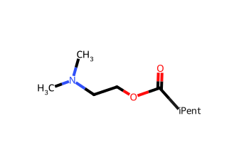 CCCC(C)C(=O)OCCN(C)C